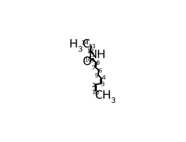 C/C=C\C=C/CC/C=C/C(=O)NCCC